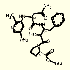 CCCCc1cnc(C)c(N[C@@H](CC(N)=O)C(=O)N[C@@H](Cc2ccccc2)C(O)C(=O)N2CCC[C@H]2C(=O)OC(C)(C)C)c1